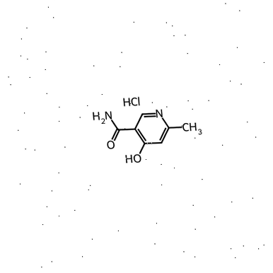 Cc1cc(O)c(C(N)=O)cn1.Cl